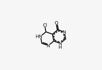 O=c1nc[nH]c2c1C(Cl)NC=N2